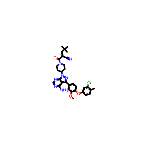 COc1cc(-c2nn(C3CCN(C(=O)/C(C#N)=C/C(C)(C)C)CC3)c3ncnc(N)c23)ccc1Oc1ccc(C)c(Cl)c1